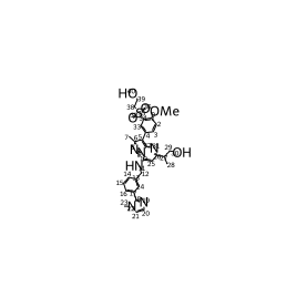 COc1ccc(-c2c(C)nn3c(NCc4cccc(-c5nccn5C)c4)cc(C(C)CO)nc23)cc1S(=O)(=O)CCO